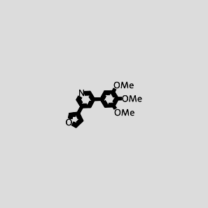 COc1cc(-c2cncc(-c3ccoc3)c2)cc(OC)c1OC